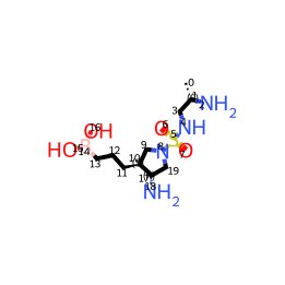 C[C@H](N)CNS(=O)(=O)N1C[C@H](CCCB(O)O)[C@@H](N)C1